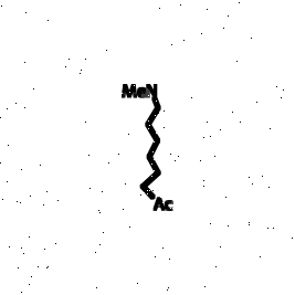 CNCCCCCCC(C)=O